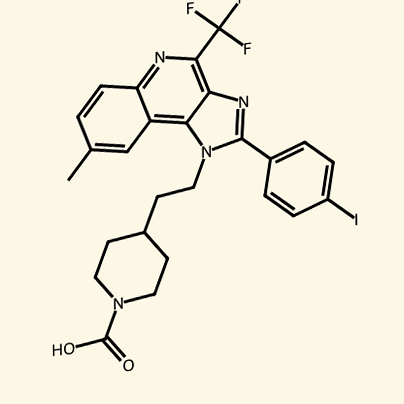 Cc1ccc2nc(C(F)(F)F)c3nc(-c4ccc(I)cc4)n(CCC4CCN(C(=O)O)CC4)c3c2c1